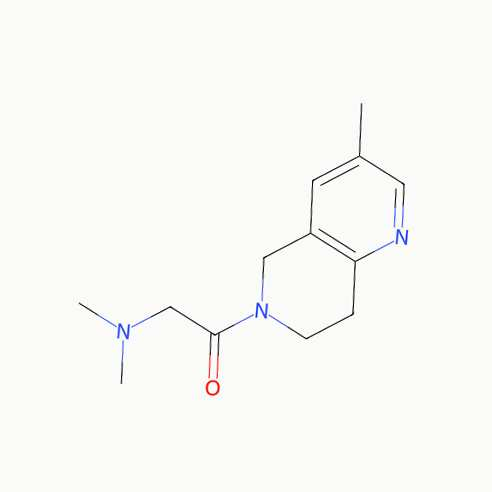 Cc1cnc2c(c1)CN(C(=O)CN(C)C)CC2